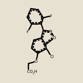 O=C(O)COc1ccc2c(-c3c(F)cccc3F)noc2c1Cl